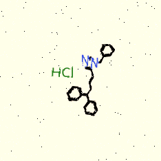 C(=Cc1cncn1Cc1ccccc1)CC(c1ccccc1)c1ccccc1.Cl